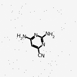 N#Cc1cc(N)nc(N)n1